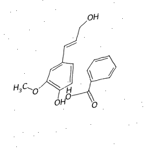 COc1cc(/C=C/CO)ccc1O.O=C(O)c1ccccc1